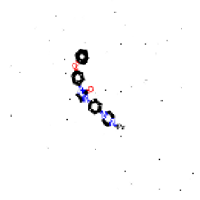 CC(C)N1CCN(C2CCC(n3ccn(-c4ccc(Oc5ccccc5)cc4)c3=O)CC2)CC1